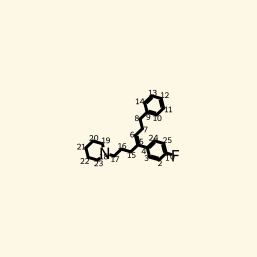 Fc1ccc(/C(=C\CCc2ccccc2)CCCN2CCCCC2)cc1